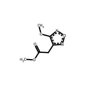 COC(=O)Cc1nonc1OC